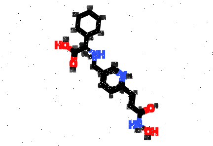 O=C(C=Cc1ccc(CN[C@H](C(=O)O)C2CCCCC2)cn1)NO